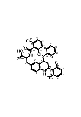 O=C(N[C@@H](Cc1ccc2c(c1)C(Sc1ccccc1)CC(c1c(Cl)cccc1Cl)N2)C(=O)O)c1c(Cl)cccc1Cl